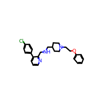 Clc1ccc(-c2cccnc2CNCC2CCN(CCOc3ccccc3)CC2)cc1